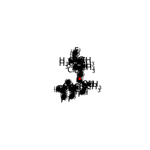 CN(C)CC1CC(Cc2ccc(F)cc2)CCC1(O)C#Cc1ccccc1.CN(C)CC1CC(Cc2ccc(F)cc2)CCC1(O)CCCc1ccccc1.CN(C)CC1CC(Cc2ccc(F)cc2)CCC1(O)c1cccc(Cl)c1Cl.CN(C)CC1CC(Cc2ccc(F)cc2)CCC1(O)c1cccs1.COc1cccc(C2(O)CCC(Cc3ccc(F)cc3)CC2CN(C)C)c1